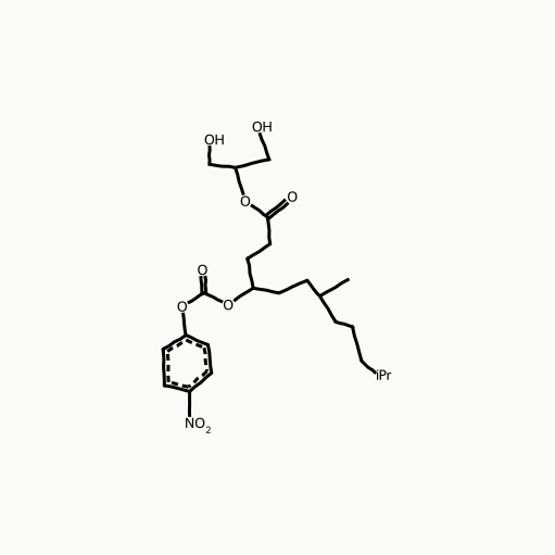 CC(C)CCCC(C)CCC(CCC(=O)OC(CO)CO)OC(=O)Oc1ccc([N+](=O)[O-])cc1